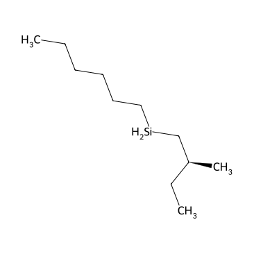 CCCCCC[SiH2]C[C@@H](C)CC